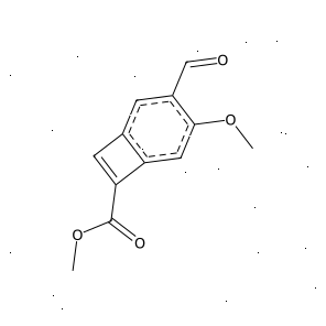 COC(=O)C1=Cc2cc(C=O)c(OC)cc21